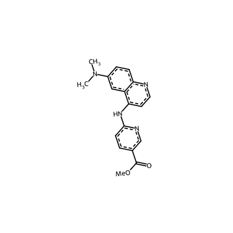 COC(=O)c1ccc(Nc2ccnc3ccc(N(C)C)cc23)nc1